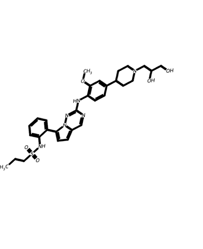 CCCS(=O)(=O)Nc1ccccc1-c1ccc2cnc(Nc3ccc(C4CCN(CC(O)CO)CC4)cc3OC)nn12